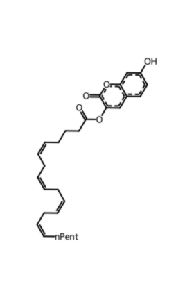 CCCCC/C=C\C/C=C\C/C=C\C/C=C\CCCC(=O)Oc1cc2ccc(O)cc2oc1=O